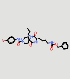 CCCN1C(=O)[C@H](CCCCNC(=O)OCc2ccccc2)NC(=O)C12CCN(C(=O)Nc1ccc(Br)cc1)CC2